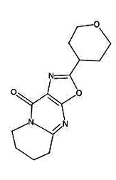 O=c1c2nc(C3CCOCC3)oc2nc2n1CCCC2